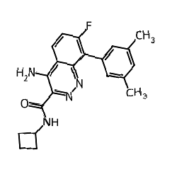 Cc1cc(C)cc(-c2c(F)ccc3c(N)c(C(=O)NC4CCC4)nnc23)c1